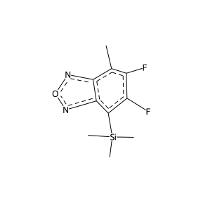 Cc1c(F)c(F)c([Si](C)(C)C)c2nonc12